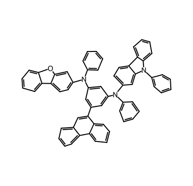 c1ccc(N(c2cc(-c3cc4ccccc4c4ccccc34)cc(N(c3ccccc3)c3ccc4c5ccccc5n(-c5ccccc5)c4c3)c2)c2ccc3c(c2)oc2ccccc23)cc1